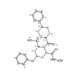 O=C(NO)C1CC(Oc2ccccn2)CN(C(=O)O)C1C(=O)N1CCN(c2ccccc2)CC1